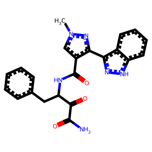 Cn1cc(C(=O)NC(Cc2ccccc2)C(=O)C(N)=O)c(-c2n[nH]c3ccccc23)n1